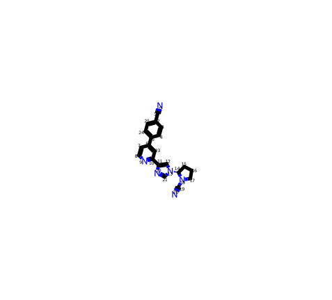 N#Cc1ccc(-c2ccnc(-c3cn([C@@H]4CCCN4C#N)cn3)c2)cc1